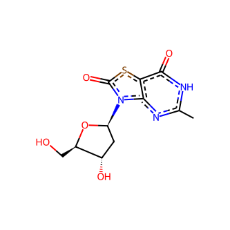 Cc1nc2c(sc(=O)n2[C@H]2C[C@H](O)[C@@H](CO)O2)c(=O)[nH]1